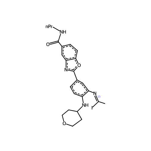 CCCNC(=O)c1ccc2oc(-c3ccc(NC4CCOCC4)c(/N=C(/C)I)c3)nc2c1